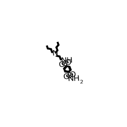 CCCCN(CCCC)CCCNS(=O)(=O)c1ccc(S(N)(=O)=O)cc1